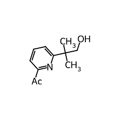 CC(=O)c1cccc(C(C)(C)CO)n1